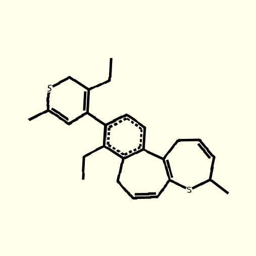 CCC1=C(c2ccc3c(c2CC)CC=CC2=C3CC=CC(C)S2)C=C(C)SC1